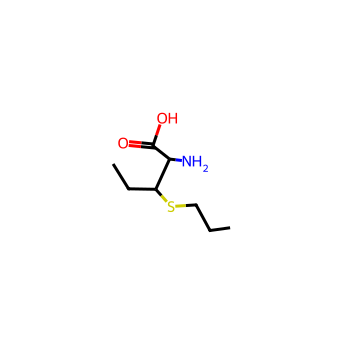 CCCSC(CC)C(N)C(=O)O